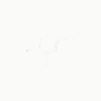 CC(C)c1ccc(C(C)(C)C)c(O)c1O